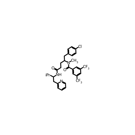 CC(C)C(Cc1ccccn1)NC(=O)CCC(Cc1ccc(Cl)cc1)N(C)C(=O)c1cc(C(F)(F)F)cc(C(F)(F)F)c1